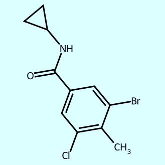 Cc1c(Cl)cc(C(=O)NC2CC2)cc1Br